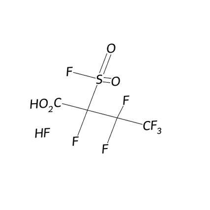 F.O=C(O)C(F)(C(F)(F)C(F)(F)F)S(=O)(=O)F